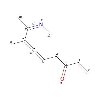 C=CC(=O)CC=C=C(C)/C(C)=N\C